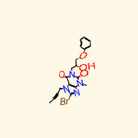 CC#CCn1c(Br)nc2c1c(=O)n(CC(O)COc1ccccc1)c(=O)n2C